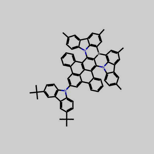 Cc1ccc2c(c1)c1cc(C)cc3c1n2-c1c2c(c4c5ccccc5c5cc(-n6c7ccc(C(C)(C)C)cc7c7cc(C(C)(C)C)ccc76)cc6c7ccccc7c1c4c65)-n1c4ccc(C)cc4c4cc(C)cc(c41)B23